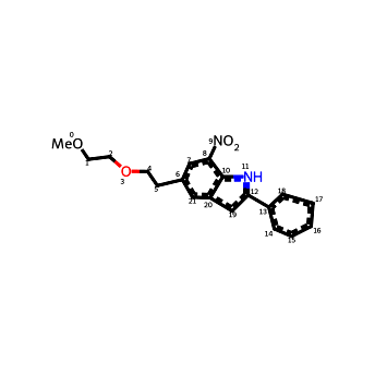 COCCOCCc1cc([N+](=O)[O-])c2[nH]c(-c3ccccc3)cc2c1